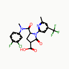 Cc1cc(C(F)(F)F)cc(N2C(=O)C(C(=O)O)CC2C(=O)N(C)c2ccc(F)c(Cl)c2)n1